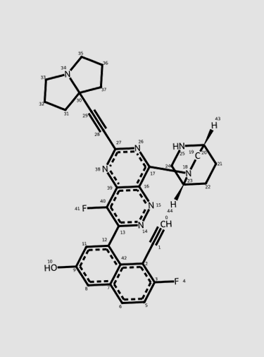 C#Cc1c(F)ccc2cc(O)cc(-c3nnc4c(N5C[C@H]6CC[C@@H]5CN6)nc(C#CC56CCCN5CCC6)nc4c3F)c12